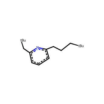 CC(C)(C)CCCc1cccc(CC(C)(C)C)n1